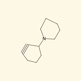 C1#CC(N2CCCCC2)CCC1